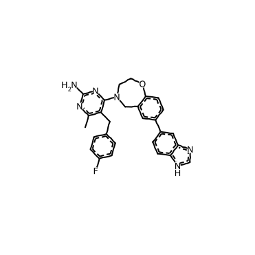 Cc1nc(N)nc(N2CCOc3ccc(-c4ccc5[nH]cnc5c4)cc3C2)c1Cc1ccc(F)cc1